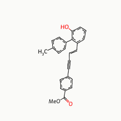 COC(=O)c1ccc(C#C/C=C/c2cccc(O)c2-c2ccc(C)cc2)cc1